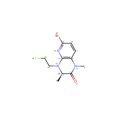 C[C@@H]1C(=O)N(C)c2ccc(Br)nc2N1CCF